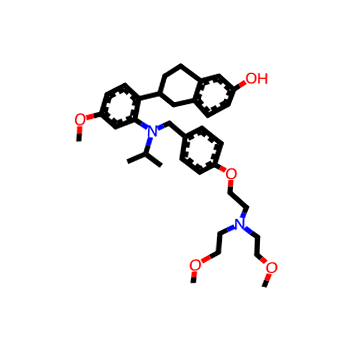 COCCN(CCOC)CCOc1ccc(CN(c2cc(OC)ccc2C2CCc3cc(O)ccc3C2)C(C)C)cc1